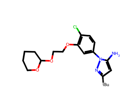 CC(C)(C)c1cc(N)n(-c2ccc(Cl)c(OCCOC3CCCCO3)c2)n1